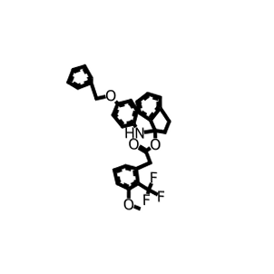 COc1cccc(CC(=O)OC2(Nc3ccc(OCc4ccccc4)cc3)CCc3ccccc32)c1C(F)(F)F